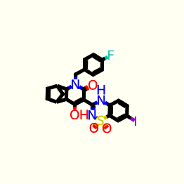 O=C1C(C2=NS(=O)(=O)c3cc(I)ccc3N2)=C(O)C2C3C=CC(C3)C2N1Cc1ccc(F)cc1